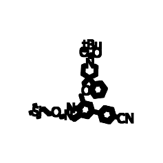 CC(C)(C)OC(=O)N1CCC(COCc2cc(-c3ccc(C#N)cc3)cc3cn(COCC[Si](C)(C)C)nc23)(c2ccccc2)CC1